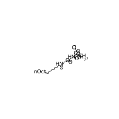 CCCCCCCC/C=C\CCCCCCCC(=O)NCCCOC(=O)CCNC(=O)C1OC(c2ccccc2)OCC1(C)C